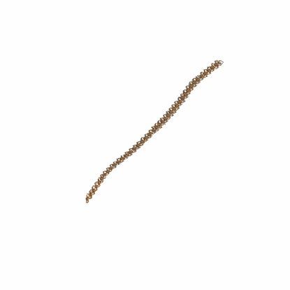 S=S=S=S=S=S=S=S=S=S=S=S=S=S=S=S=S=S=S=S=S=S=S=S=S=S=S=S=S=S=S=S=S=S=S=S=S=S=S=S=S=S=S=S=S=S=S=S=S=S=S=S=S=S=S=S=S=S=S=S=S=S=S=S=S=S=S=S=S=S=S=S=S=S=S=S=S=S=S=S=S